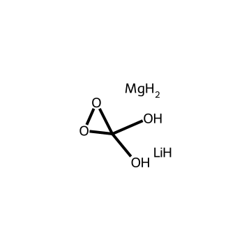 OC1(O)OO1.[LiH].[MgH2]